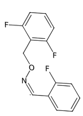 Fc1ccccc1/[C]=N\OCc1c(F)cccc1F